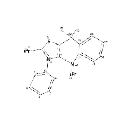 CC(C)c1sc2c([n+]1-c1ccccc1)N(C(C)C)c1ccccc1C2(C)C